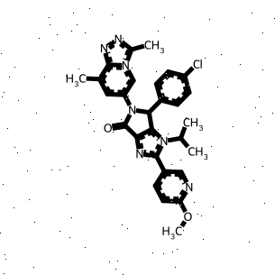 COc1ccc(-c2nc3c(n2C(C)C)C(c2ccc(Cl)cc2)N(c2cc(C)c4nnc(C)n4c2)C3=O)cn1